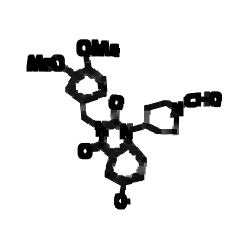 COc1ccc(Cn2c(=O)c3cc([O])ccc3n(C3CCN(C=O)CC3)c2=O)cc1OC